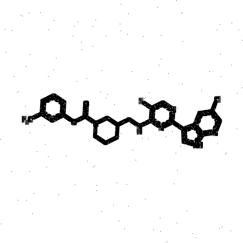 O=C(Oc1cccc(C(F)(F)F)c1)N1CCCC(CNc2nc(-c3c[nH]c4ncc(Cl)cc34)ncc2F)C1